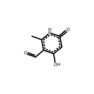 Cc1[nH]c(=O)cc(O)c1C=O